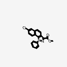 COC(=O)c1nn(-c2ccccc2)c2c1ccc1cc(Cl)ccc12